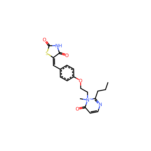 CCCC1=NC=CC(=O)[N+]1(C)CCOc1ccc(C=C2SC(=O)NC2=O)cc1